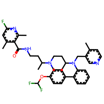 Cc1ccncc1CN(c1ccccc1-c1ccc(OC(F)F)cc1)C1CCN(C(C)CCNC(=O)c2c(C)cc(F)nc2C)CC1